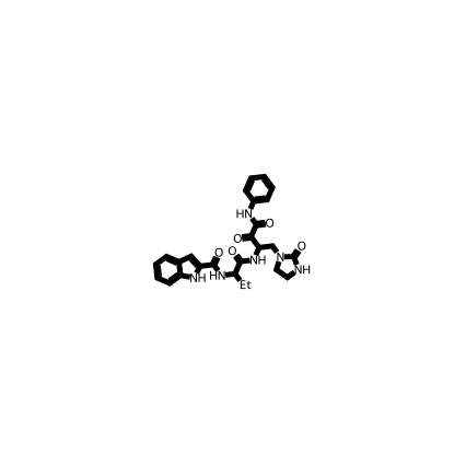 CCC(NC(=O)c1cc2ccccc2[nH]1)C(=O)NC(CN1CCNC1=O)C(=O)C(=O)Nc1ccccc1